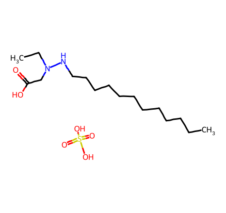 CCCCCCCCCCCCNN(CC)CC(=O)O.O=S(=O)(O)O